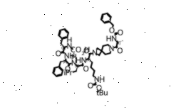 CC(C)C[C@@H](NC(=O)[C@@H](Cc1ccccc1)NC(=O)[C@@H](Cc1ccccc1)NC(=O)O)C(=O)N[C@H](CCCCNC(=O)OC(C)(C)C)C(=O)N1CC2(CCN(C(=O)[C@@H](C)NC(=O)OCc3ccccc3)CC2)C1